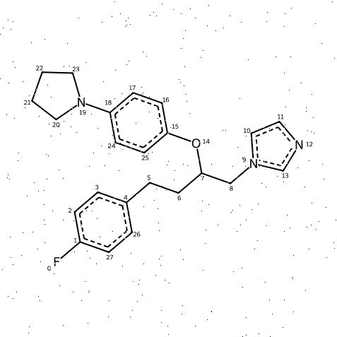 Fc1ccc(CCC(Cn2ccnc2)Oc2ccc(N3CCCC3)cc2)cc1